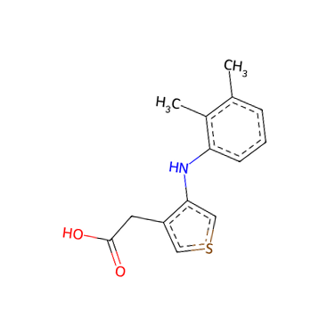 Cc1cccc(Nc2cscc2CC(=O)O)c1C